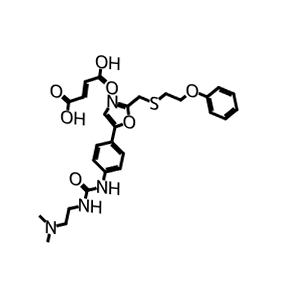 CN(C)CCNC(=O)Nc1ccc(-c2cnc(CSCCOc3ccccc3)o2)cc1.O=C(O)C=CC(=O)O